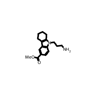 COC(=O)c1ccc2c(c1)c1c(n2CCCN)CCCC1